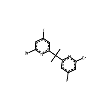 CC(C)(c1cc(F)cc(Br)n1)c1cc(F)cc(Br)n1